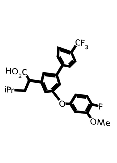 COc1cc(Oc2cc(-c3ccc(C(F)(F)F)cc3)cc(C(CC(C)C)C(=O)O)c2)ccc1F